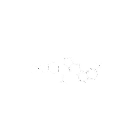 CC(=O)N[C@@H]1C[C@H]([AsH]C(C)(C)C)CC[C@@H]1N1CCC(Nc2ncnc3ccc(C(F)(F)F)cc23)C1=O